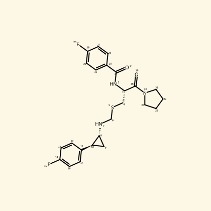 O=C(N[C@@H](CSCN[C@@H]1C[C@H]1c1ccc(F)cc1)C(=O)N1CCCC1)c1ccc(F)cc1